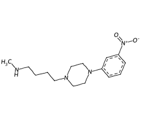 CNCCCCN1CCN(c2cccc([N+](=O)[O-])c2)CC1